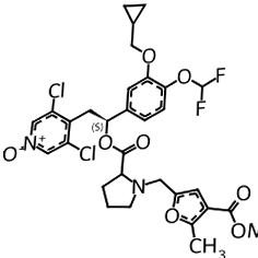 COC(=O)c1cc(CN2CCCC2C(=O)O[C@@H](Cc2c(Cl)c[n+]([O-])cc2Cl)c2ccc(OC(F)F)c(OCC3CC3)c2)oc1C